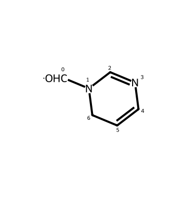 O=[C]N1C=NC=CC1